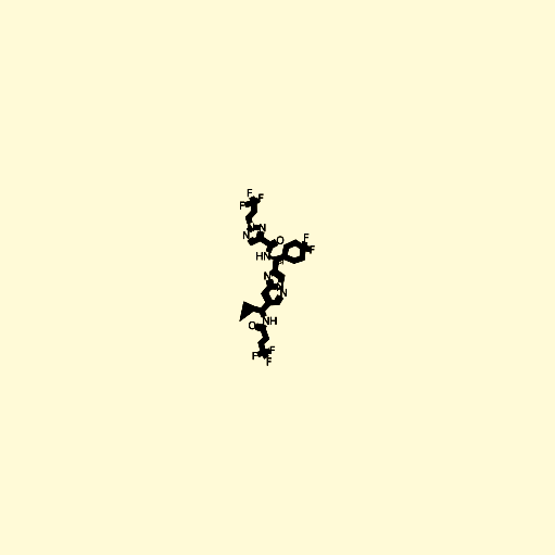 O=C(CCC(F)(F)F)NC(c1cnn2cc([C@@H](NC(=O)c3cnn(CCC(F)(F)F)n3)C3CCC(F)(F)CC3)nc2c1)C1CC1